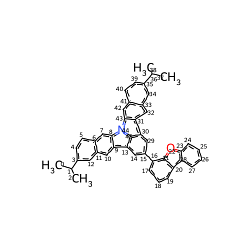 CC(C)c1ccc2cc3c(cc2c1)c1cc(-c2cccc4c2oc2ccccc24)cc2c4cc5cc(C(C)C)ccc5cc4n3c12